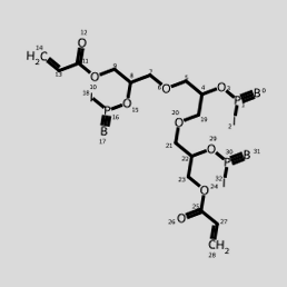 B#P(I)OC(COCC(COC(=O)C=C)OP(#B)I)COCC(COC(=O)C=C)OP(#B)I